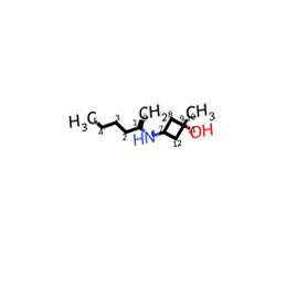 C=C(CCCC)NC1CC(C)(O)C1